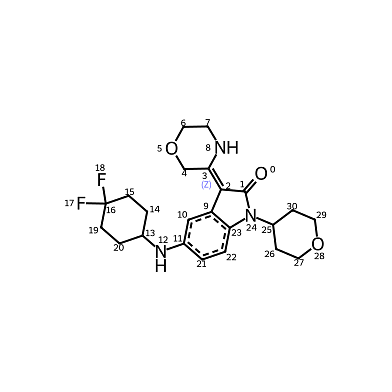 O=C1/C(=C2/COCCN2)c2cc(NC3CCC(F)(F)CC3)ccc2N1C1CCOCC1